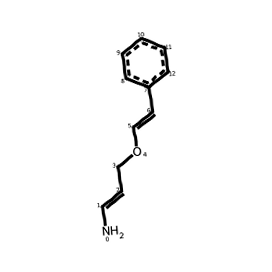 NC=CCOC=Cc1ccccc1